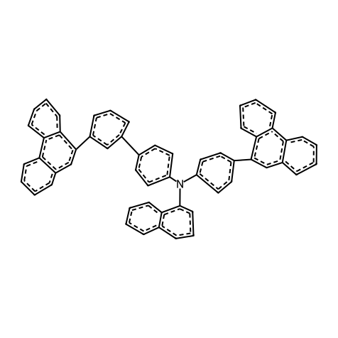 c1cc(-c2ccc(N(c3ccc(-c4cc5ccccc5c5ccccc45)cc3)c3cccc4ccccc34)cc2)cc(-c2cc3ccccc3c3ccccc23)c1